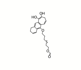 O=COCCSCCCOc1c2c(cc3c1C=CCC(O)=C3O)CCC=C2